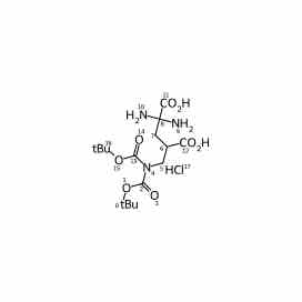 CC(C)(C)OC(=O)N(CC(CC(N)(N)C(=O)O)C(=O)O)C(=O)OC(C)(C)C.Cl